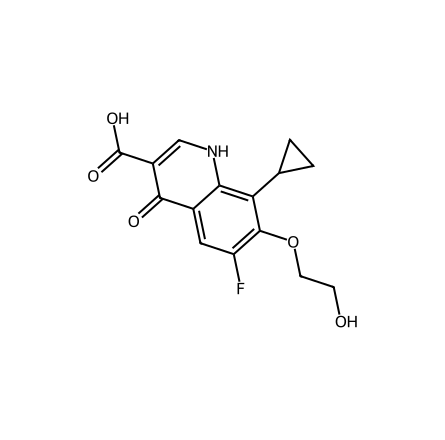 O=C(O)c1c[nH]c2c(C3CC3)c(OCCO)c(F)cc2c1=O